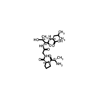 CC(C)C[C@H](NC(=O)[C@@H](NC(=O)CNC(=O)[C@@H]1CCCN1C(=O)[C@H](C)N)[C@@H](C)O)C(=O)O